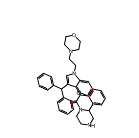 O=C(c1cccc2c1c(C(c1ccccc1)c1ccccc1)cn2CCN1CCOCC1)N1CCNCC1c1ccccc1Cl